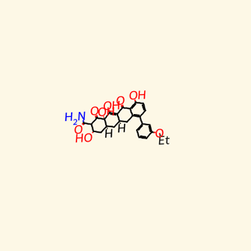 CCOc1cccc(-c2ccc(O)c3c2C[C@H]2C[C@H]4CC(O)C(C(N)=O)C(=O)[C@@]4(O)C(O)=C2C3=O)c1